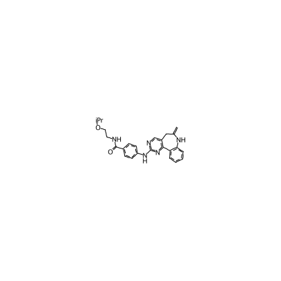 C=C1Cc2cnc(Nc3ccc(C(=O)NCCOC(C)C)cc3)nc2-c2ccccc2N1